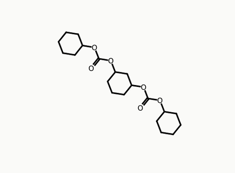 O=C(OC1CCCCC1)OC1CCCC(OC(=O)OC2CCCCC2)C1